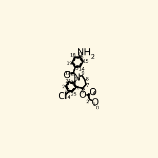 COCC(=O)OC1CCCN(C(=O)c2ccc(N)cc2)c2ccc(Cl)cc21